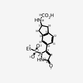 CCS(=O)(=O)n1[nH]c(=O)cc1-c1ccc2c(c1)CC(NC(=O)O)C2